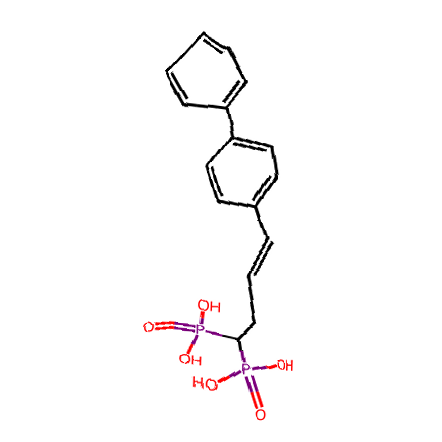 O=P(O)(O)C(CC=Cc1ccc(-c2ccccc2)cc1)P(=O)(O)O